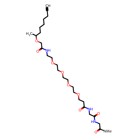 C#CCCCCCC(C)OCC(=O)NCCOCCOCCOCCOCCC(=O)NCC(=O)NCC(=O)NC